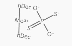 CCCCCCCCC[CH2][Mo+3][CH2]CCCCCCCCC.[O-]P([O-])(=S)[S-]